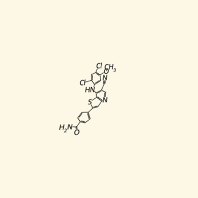 COc1cc(Nc2c(C#N)cnc3cc(-c4ccc(C(N)=O)cc4)sc23)c(Cl)cc1Cl